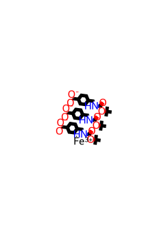 CC(C)(C)OC(=O)NCC1CCC(C(=O)[O-])CC1.CC(C)(C)OC(=O)NCC1CCC(C(=O)[O-])CC1.CC(C)(C)OC(=O)NCC1CCC(C(=O)[O-])CC1.[Fe+3]